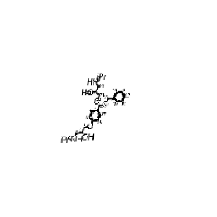 CC(C)NCC(O)COc1ccc(C(OCc2ccccc2)OCC(O)CNC(C)C)cc1